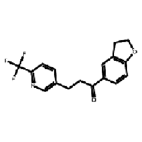 O=C(CCc1ccc(C(F)(F)F)nc1)c1ccc2c(c1)CCO2